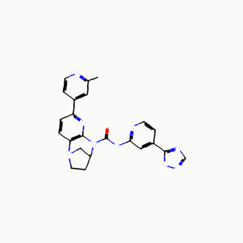 Cc1cc(-c2ccc3c(n2)N(C(=O)Nc2cc(-c4ncn[nH]4)ccn2)C2CCN3C2)ccn1